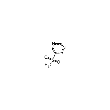 CS(=O)(=O)c1cncnc1